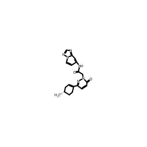 C[C@@H]1CC=C(c2ccc(=O)n(CC(=O)Nc3ccn4ncnc4c3)n2)CC1